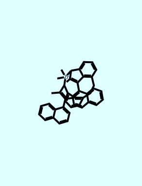 CC1=C(c2cccc3ccccc23)c2c3cccc2[CH]1[Zr]([CH3])([CH3])[CH]1C(C)=C(c2cccc4ccccc24)c2c(cccc21)CC3